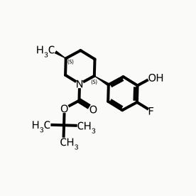 C[C@H]1CC[C@@H](c2ccc(F)c(O)c2)N(C(=O)OC(C)(C)C)C1